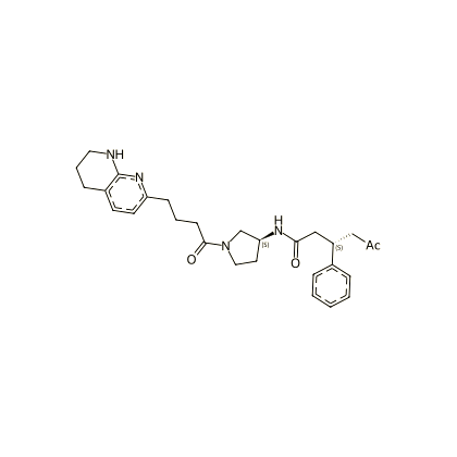 CC(=O)C[C@@H](CC(=O)N[C@H]1CCN(C(=O)CCCc2ccc3c(n2)NCCC3)C1)c1ccccc1